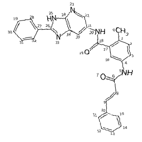 Cc1ccc(NC(=O)C=Cc2ccccc2)cc1C(=O)Nc1cnc2[nH]c(-c3ccccc3)nc2c1